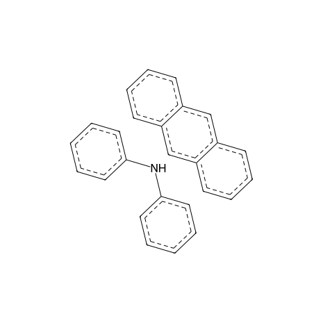 c1ccc(Nc2ccccc2)cc1.c1ccc2cc3ccccc3cc2c1